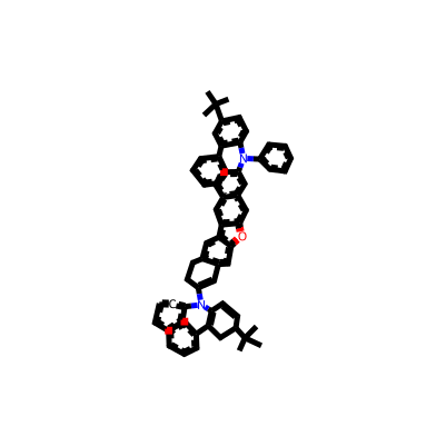 CC(C)(C)c1ccc(N(c2ccccc2)c2ccc3cc4c(cc3c2)oc2cc3c(cc24)CCC(N(C2=C(c4ccccc4)CC(C(C)(C)C)C=C2)c2ccccc2)=C3)c(-c2ccccc2)c1